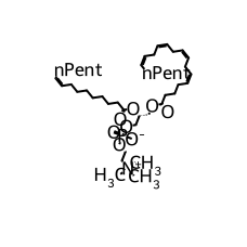 CCCCC/C=C\C/C=C\C/C=C\C/C=C\CCCC(=O)OC[C@H](COP(=O)([O-])OCC[N+](C)(C)C)OC(=O)CCCCCCC/C=C\CCCCC